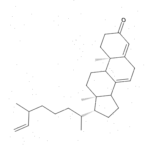 C=CC(C)CCCC(C)[C@H]1CCC2C3=CCC4=CC(=O)CC[C@]4(C)C3CC[C@@]21C